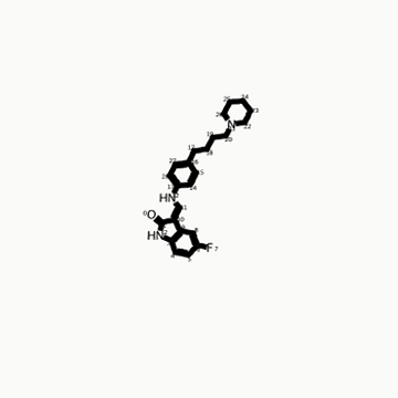 O=C1Nc2ccc(F)cc2C1=CNc1ccc(CCCCN2CCCCC2)cc1